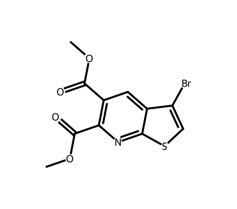 COC(=O)c1cc2c(Br)csc2nc1C(=O)OC